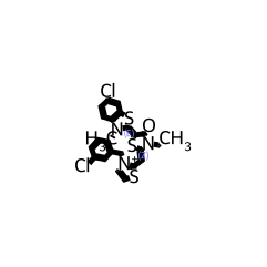 CCn1c(=O)/c(=C2\Sc3cc(Cl)ccc3N2C)s/c1=C\c1scc[n+]1Cc1cccc(Cl)c1